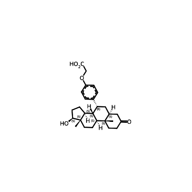 C[C@]12CCC(=O)C[C@@H]1C[C@@H](c1ccc(OCC(=O)O)cc1)[C@@H]1[C@@H]2CC[C@]2(C)[C@@H](O)CC[C@@H]12